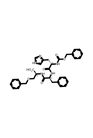 O=C(N[C@@H](Cc1c[nH]cn1)C(=O)N[C@@H](Cc1ccccc1)C(=O)N[C@@H](COCc1ccccc1)C(=O)O)OCc1ccccc1